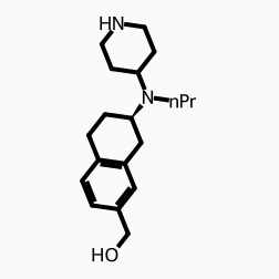 CCCN(C1CCNCC1)[C@@H]1CCc2ccc(CO)cc2C1